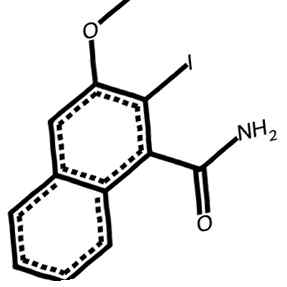 COc1cc2ccccc2c(C(N)=O)c1I